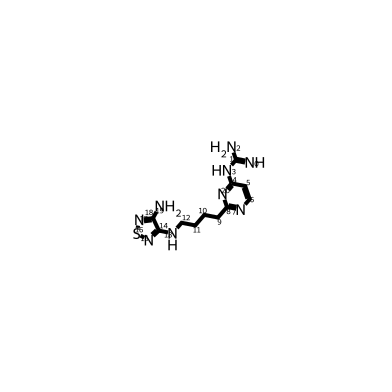 N=C(N)Nc1ccnc(CCCCNc2nsnc2N)n1